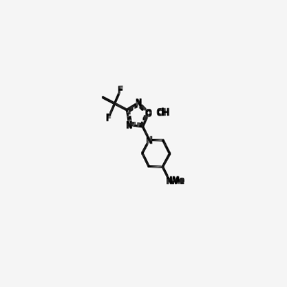 CNC1CCN(c2nc(C(C)(F)F)no2)CC1.Cl